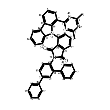 Cc1nc(C)nc(-c2cccc3c4ccccc4n(-c4cccc5c4C(=O)N(c4ccc(-c6ccccc6)cc4-c4ccccc4)C5=O)c23)n1